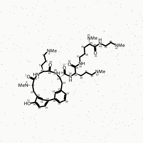 CNCCC[C@@H]1NC(=O)[C@@H](NC)Cc2cc(ccc2O)-c2cccc(c2)C[C@@H](C(=O)N[C@H](CCCNC)C(=O)NCCC[C@H](NC)C(=O)NCCNC)NC1=O